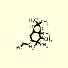 CC(C)CC[C@@H]1CC2OC(C)(C)OC2(C)C(C)C1(C)C